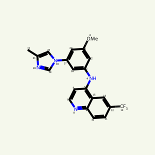 COc1cc(Nc2ccnc3ccc(C(F)(F)F)cc23)cc(-n2cnc(C)c2)c1